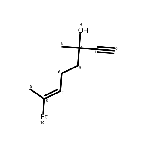 C#CC(C)(O)CC/C=C(\C)CC